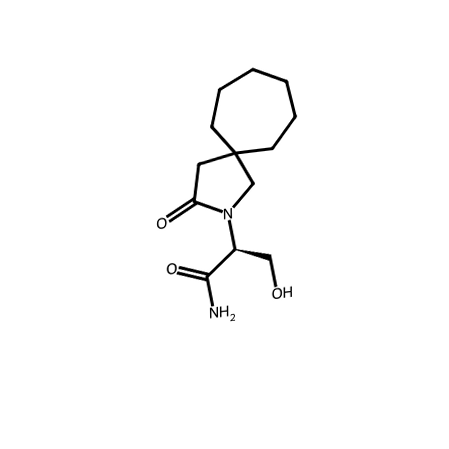 NC(=O)[C@H](CO)N1CC2(CCCCCC2)CC1=O